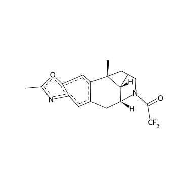 Cc1nc2cc3c(cc2o1)[C@]1(C)CCN(C(=O)C(F)(F)F)[C@H](C3)[C@H]1C